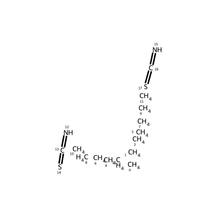 C.C.C.C.C.C.C.C.C.C.C.C.N=C=S.N=C=S